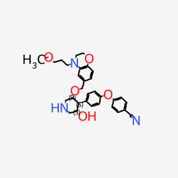 COCCCN1CCOc2ccc(CO[C@H]3CNC[C@@H](O)[C@@H]3c3ccc(Oc4ccc(C#N)cc4)cc3)cc21